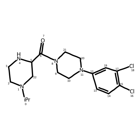 CC(C)N1CCNC(C(=O)N2CCN(c3ccc(Cl)c(Cl)c3)CC2)C1